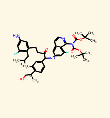 Cc1cc(C(Nc2cc(F)c3c(N(C(=O)OC(C)(C)C)C(=O)OC(C)(C)C)nccc3c2)C(=O)CCc2cc(N)cc(F)c2CC(C)C)ccc1[C@@H](C)CO